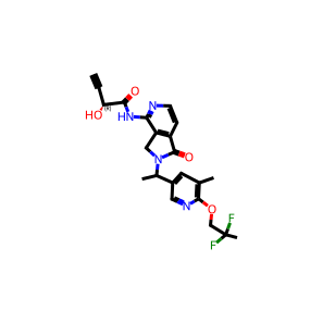 C#C[C@@H](O)C(=O)Nc1nccc2c1CN(C(C)c1cnc(OCC(C)(F)F)c(C)c1)C2=O